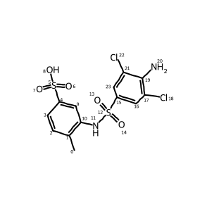 Cc1ccc(S(=O)(=O)O)cc1NS(=O)(=O)c1cc(Cl)c(N)c(Cl)c1